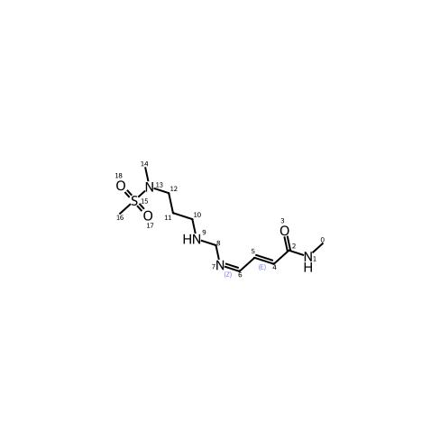 CNC(=O)/C=C/C=N\CNCCCN(C)S(C)(=O)=O